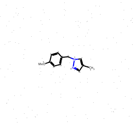 COc1ccc(Cn2cc(C)cn2)cc1